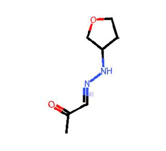 CC(=O)/C=N/NC1CCOC1